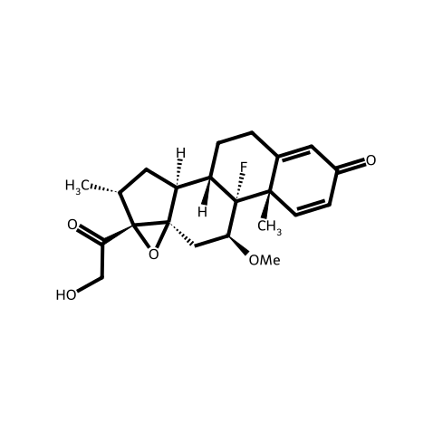 CO[C@H]1C[C@]23O[C@]2(C(=O)CO)[C@H](C)C[C@H]3[C@@H]2CCC3=CC(=O)C=C[C@]3(C)[C@@]12F